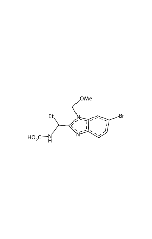 CCC(NC(=O)O)c1nc2ccc(Br)cc2n1COC